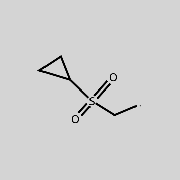 [CH2]CS(=O)(=O)C1CC1